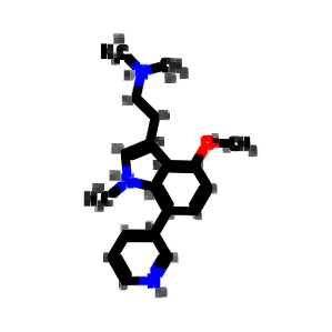 COc1ccc(-c2cccnc2)c2c1c(CCN(C)C)cn2C